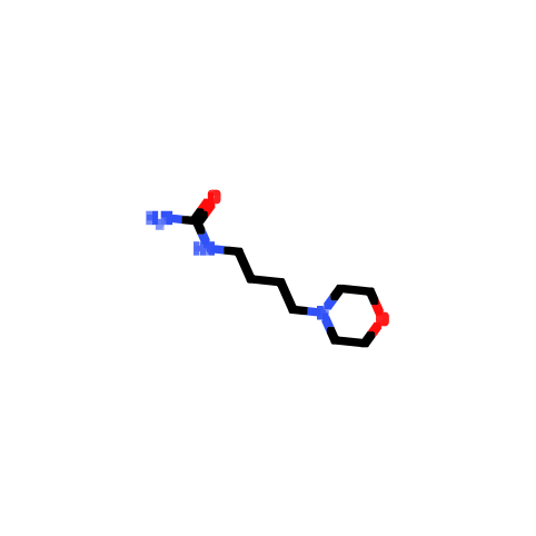 NC(=O)NCCCCN1CCOCC1